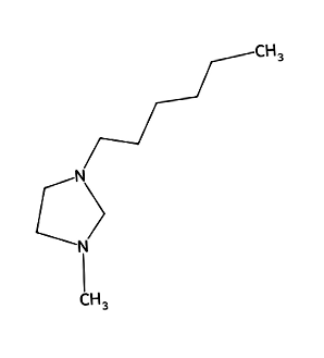 CCCCCCN1CCN(C)C1